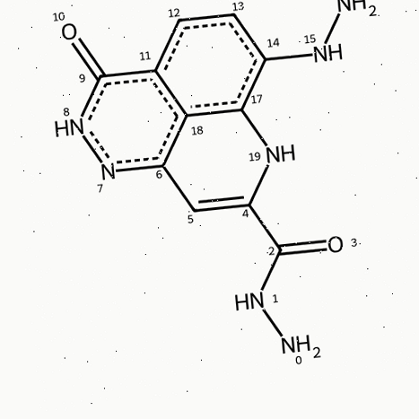 NNC(=O)C1=Cc2n[nH]c(=O)c3ccc(NN)c(c23)N1